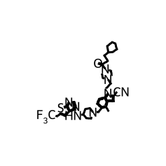 Cc1c(CN2CCC(Nc3ncnc4sc(CC(F)(F)F)cc34)CC2)ccc2c1cc(C#N)n2CCN1CCN(C(=O)CCC2CCCCC2)CC1